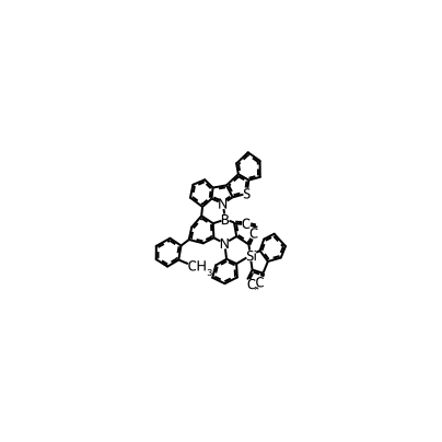 Cc1ccccc1-c1cc2c3c(c1)N1c4ccccc4[Si]4(c5ccccc5-c5ccccc54)c4cccc(c41)B3n1c3sc4ccccc4c3c3cccc-2c31